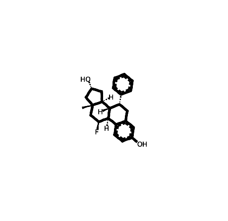 C[C@@]12C[C@H](O)C[C@H]1[C@H]1[C@@H](c3ccc(O)cc3C[C@H]1c1ccccc1)[C@@H](F)C2